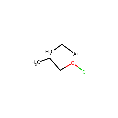 CCCOCl.C[CH2][Al]